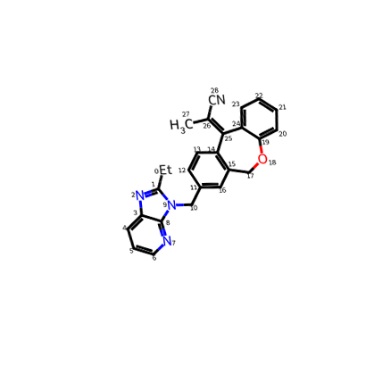 CCc1nc2cccnc2n1Cc1ccc2c(c1)COc1ccccc1C2=C(C)C#N